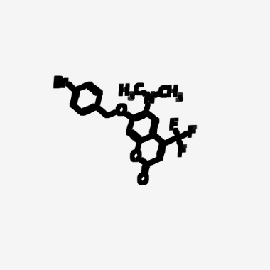 CN(C)c1cc2c(C(F)(F)F)cc(=O)oc2cc1OCc1ccc(Br)cc1